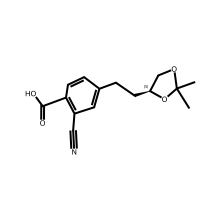 CC1(C)OC[C@H](CCc2ccc(C(=O)O)c(C#N)c2)O1